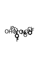 CC(C)CC(C1CCN(C(=O)Oc2cccc(F)c2Cl)CC1)N(C=O)c1ccc(F)cc1